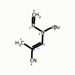 C=NN(/C=C(\C)C#N)C(C)(C)C